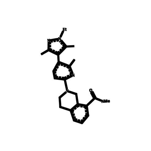 CCn1nc(C)c(-c2ccc(N3CCc4cccc(C(=O)NC)c4C3)nc2C)c1C